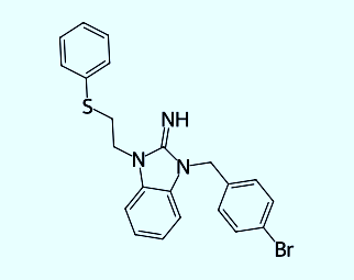 N=c1n(CCSc2ccccc2)c2ccccc2n1Cc1ccc(Br)cc1